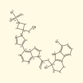 CCc1cccc2c3c([nH]c12)C(CC)(CC(=O)n1ccc2c(-c4cnn(C5(CC#N)CN(S(=O)(=O)CC)C5)c4)ncnc21)OCC3